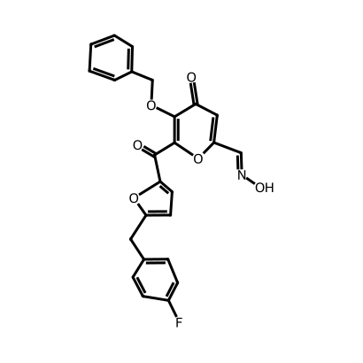 O=C(c1ccc(Cc2ccc(F)cc2)o1)c1oc(C=NO)cc(=O)c1OCc1ccccc1